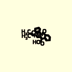 CC(C)(C)CNCc1c(C(=O)O)c2ccccc2c(=O)n1-c1ccccc1